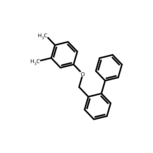 Cc1ccc(OCc2ccccc2-c2ccccc2)cc1C